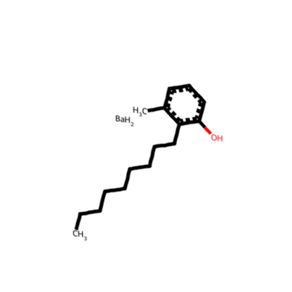 CCCCCCCCCc1c(C)cccc1O.[BaH2]